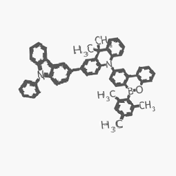 Cc1cc(C)c(B2Oc3ccccc3-c3cc(N4c5ccccc5C(C)(C)c5cc(-c6ccc7c(c6)c6ccccc6n7-c6ccccc6)ccc54)ccc32)c(C)c1